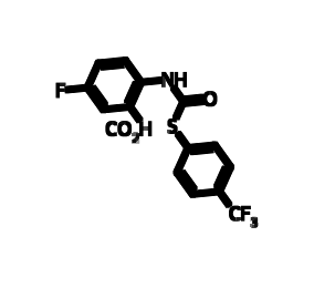 O=C(Nc1ccc(F)cc1C(=O)O)Sc1ccc(C(F)(F)F)cc1